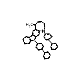 C=C1/C=C\C=C/N(c2ccc(-c3ccccc3)cc2)c2cc3c(cc21)c1ccccc1n3-c1ccc(-c2ccccc2)cc1